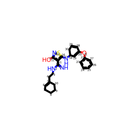 N=C(NCCC1=CCCCC1)c1c(O)nsc1NC1C=C(Oc2ccccc2)C=CC1